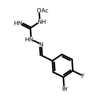 CC(=O)ONC(=N)NN=Cc1ccc(F)c(Br)c1